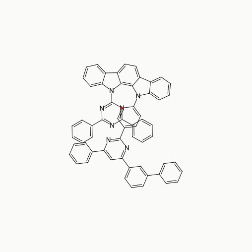 c1ccc(-c2cccc(-c3cc(-c4ccccc4)nc(-c4ccc(-n5c6ccccc6c6ccc7c8ccccc8n(-c8nc(-c9ccccc9)nc(-c9ccccc9)n8)c7c65)cc4)n3)c2)cc1